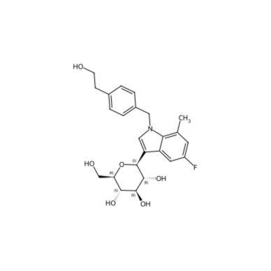 Cc1cc(F)cc2c([C@@H]3O[C@H](CO)[C@@H](O)[C@H](O)[C@H]3O)cn(Cc3ccc(CCO)cc3)c12